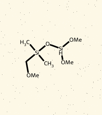 COC[Si](C)(C)O[SiH](OC)OC